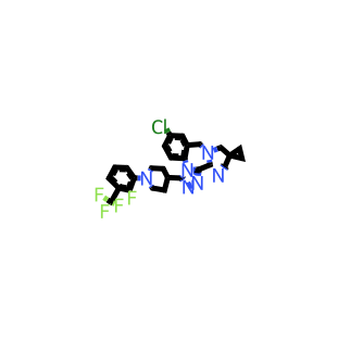 N#CC1(CN2Cc3cc(Cl)ccc3-n3c(nnc3C3CCN(c4cccc(C(F)(F)F)c4F)CC3)C2)CC1